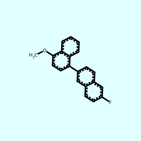 COc1ccc(-c2[c]c3ccc(F)cc3cc2)c2ccccc12